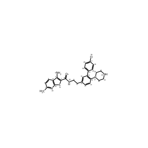 Cc1ccc2c(N)c(C(=O)NCCc3ccc(N4CCNCC4)c(-c4ccc(Cl)cc4)c3)sc2n1